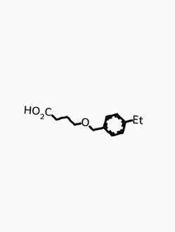 CCc1ccc(COCCCC(=O)O)cc1